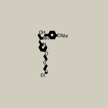 CCOCCOCCOc1ccc(C[C@@H](CO)NCc2ccc(OC)cc2)nc1